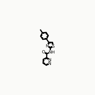 Cc1ccc(-c2csc(NC(=O)c3cccnn3)n2)cc1